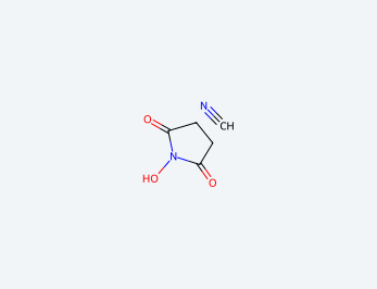 C#N.O=C1CCC(=O)N1O